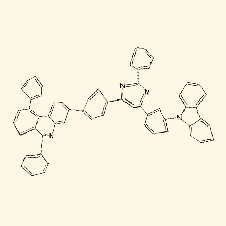 c1ccc(-c2nc(-c3ccc(-c4ccc5c(c4)nc(-c4ccccc4)c4cccc(-c6ccccc6)c45)cc3)cc(-c3cccc(-n4c5ccccc5c5ccccc54)c3)n2)cc1